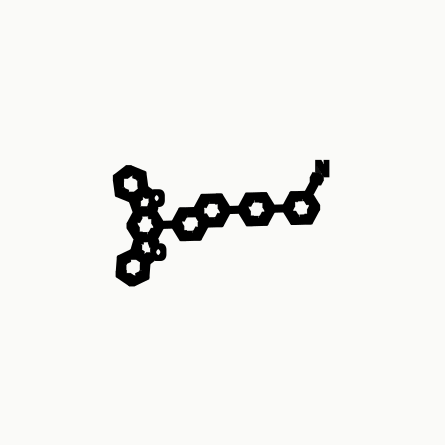 N#Cc1cccc(-c2ccc(-c3ccc4cc(-c5c6oc7ccccc7c6cc6c5oc5ccccc56)ccc4c3)cc2)c1